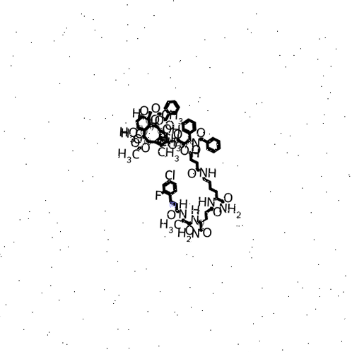 CC(=O)O[C@H]1C(=O)[C@@]2(C)[C@H]([C@H](OC(=O)c3ccccc3)[C@]3(O)C[C@H](OC(=O)[C@H](OC(=O)CCC(=O)NCCCCC(NC(=O)CC[C@H](NC(=O)C(C)NC(=O)/C=C/c4ccc(Cl)cc4F)C(N)=O)C(N)=O)[C@H](NC(=O)c4ccccc4)c4ccccc4)C(C)=C1C3(C)C)[C@]1(OC(C)=O)CO[C@@H]1C[C@@H]2O